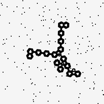 c1ccc([Si]2(c3ccccc3)c3cc(-c4cccc5c4oc4ccccc45)ccc3-c3ccc(-n4c5ccc(-c6ccc(-c7ccc(-c8cccc9ccccc89)cc7)cc6)cc5c5cc(-c6ccc(-c7ccc(-c8cccc9ccccc89)cc7)cc6)ccc54)cc32)cc1